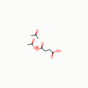 CC(=O)O.CC(C)=O.O=C(O)CCC(=O)O